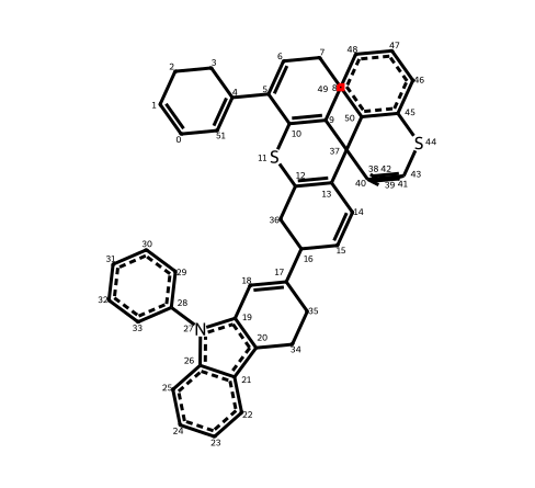 C1=CCCC(C2=CCCC3=C2SC2=C(C=CC(C4=Cc5c(c6ccccc6n5-c5ccccc5)CC4)C2)C32C3=CC=CCC3Sc3ccccc32)=C1